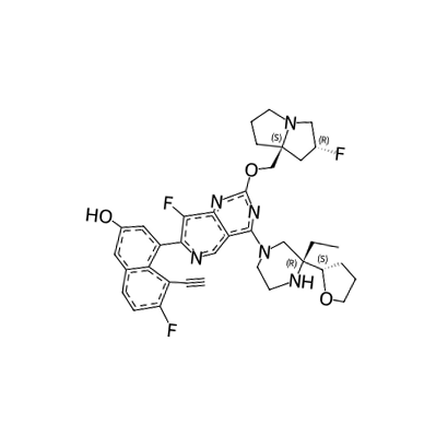 C#Cc1c(F)ccc2cc(O)cc(-c3ncc4c(N5CCN[C@@](CC)([C@@H]6CCCO6)C5)nc(OC[C@@]56CCCN5C[C@H](F)C6)nc4c3F)c12